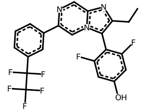 CCc1nc2cnc(-c3cccc(C(F)(F)C(F)(F)F)c3)cn2c1-c1c(F)cc(O)cc1F